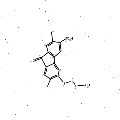 Cc1cc2c(cc1SOOO)-c1cc(S(=O)(=O)O)c(C)cc1C2=O